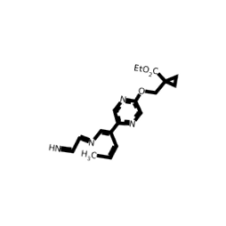 C\C=C/C(=C\N=C\C=N)c1cnc(OCC2(C(=O)OCC)CC2)cn1